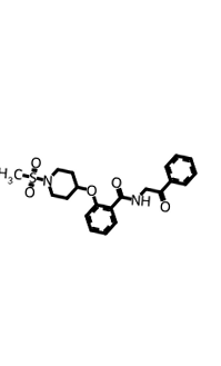 CS(=O)(=O)N1CCC(Oc2ccccc2C(=O)NCC(=O)c2ccccc2)CC1